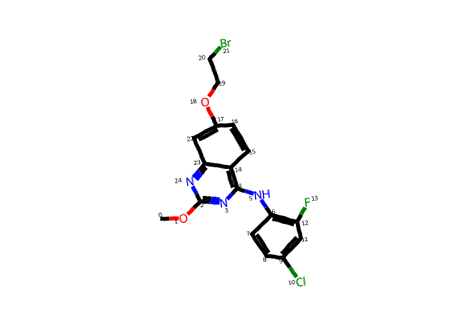 COc1nc(Nc2ccc(Cl)cc2F)c2ccc(OCCBr)cc2n1